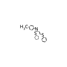 Cc1ccc(N=C(C=CSc2ccccc2)SC2CCCC2)cc1